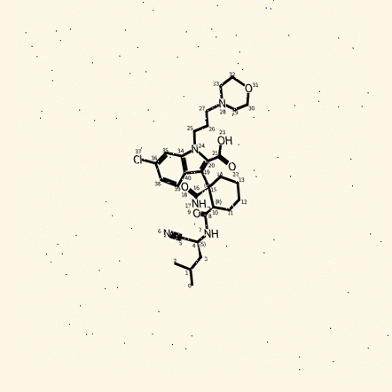 CC(C)C[C@@H](C#N)NC(=O)[C@@H]1CCCC[C@@]1(C(N)=O)c1c(C(=O)O)n(CCCN2CCOCC2)c2cc(Cl)ccc12